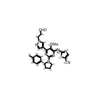 COc1c(Nc2ncc(C#N)s2)nc(N2CCC[C@H]2c2ccc(C)cc2)nc1-c1cnn(CCC=O)c1